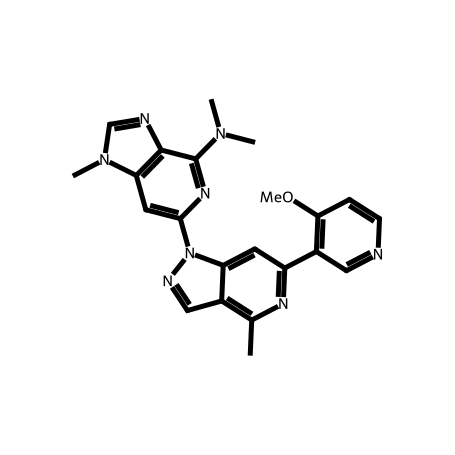 COc1ccncc1-c1cc2c(cnn2-c2cc3c(ncn3C)c(N(C)C)n2)c(C)n1